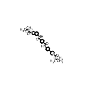 CC(C)(C)OC(=O)N1CC=C(c2ccc(NC(=O)c3ccc(C(=O)Nc4ccc5c(c4)CN(C(=O)OC(C)(C)C)C5)cc3)cc2)CC1